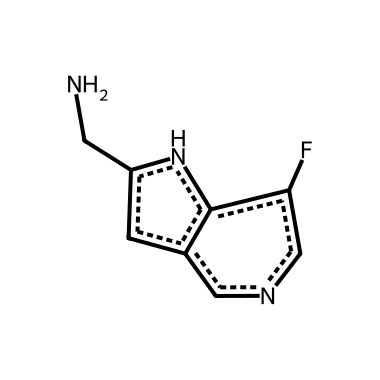 NCc1cc2cncc(F)c2[nH]1